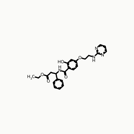 CCOC(=O)CC(NC(=O)c1ccc(OCCNc2ncccn2)cc1O)c1ccccc1